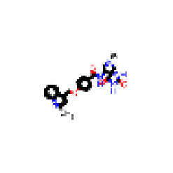 Cc1cc(COc2ccc(C(=O)NC3CN(C(C)C)CC34NC(=O)NC4=O)cc2)c2ccccc2n1